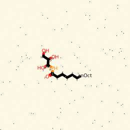 CCCCCCCCCCCCCC(=O)PC(O)C(O)CO